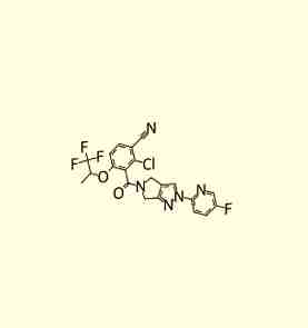 CC(Oc1ccc(C#N)c(Cl)c1C(=O)N1Cc2cn(-c3ccc(F)cn3)nc2C1)C(F)(F)F